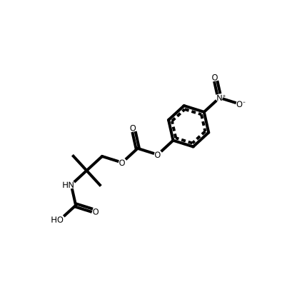 CC(C)(COC(=O)Oc1ccc([N+](=O)[O-])cc1)NC(=O)O